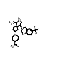 CC(C)[C@]1(C(=O)N2COc3ccc(C(F)(F)F)cc3C2)CC[C@@H](N2CCC(C(=O)O)CC2)C1